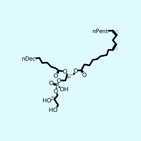 CCCCC/C=C\C/C=C\CCCCCCCC(=O)OC[C@H](COP(=O)(O)OC[C@@H](O)CO)OC(=O)CCCCCCCCCCCCCCC